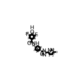 Cc1ccc(-c2noc([C@]34CC[C@](CNC(=O)c5cc(F)c(O)c(F)c5)(CC3)CC4)n2)nn1